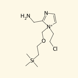 C[Si](C)(C)CCOC[N+]1(CCCl)C=CN=C1CN